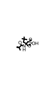 C=C(C)C(=O)NC(C)(CC(C)(C)C)CS(=O)(=O)O